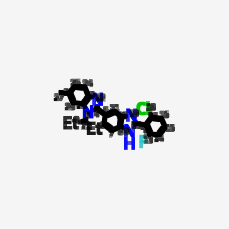 CCC(CC)n1c(-c2ccc3[nH]c(-c4c(F)cccc4Cl)nc3c2)nc2ccc(C)cc21